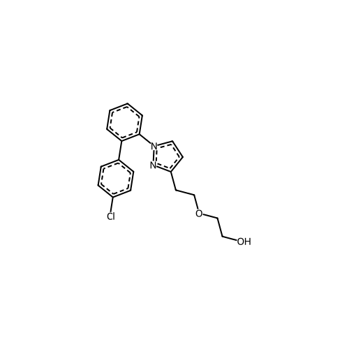 OCCOCCc1ccn(-c2ccccc2-c2ccc(Cl)cc2)n1